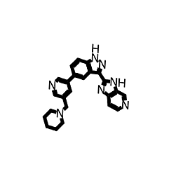 c1cc2nc(-c3n[nH]c4ccc(-c5cncc(CN6CCCCC6)c5)cc34)[nH]c2cn1